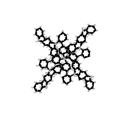 O=S12(c3ccc(-c4ccccc4-n4c5ccccc5c5cc6sc7ccccc7c6cc54)cc3-c3cc(-c4ccccc4-n4c5ccccc5c5cc6sc7ccccc7c6cc54)ccc31)c1ccc(-c3ccccc3-n3c4ccccc4c4cc5sc6ccccc6c5cc43)cc1-c1cc(-c3ccccc3-n3c4ccccc4c4cc5sc6ccccc6c5cc43)ccc12